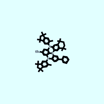 Cc1cc2c(cc1N1c3ccc(-c4ccccc4)cc3B3c4cc5c(cc4N(c4cc6c(cc4C)C(C)(C)CC6(C)C)c4cc(C(C)(C)C)cc1c43)C(C)(C)CCC5(C)C)C(C)(C)CC2(C)C